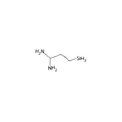 NC(N)CC[SiH3]